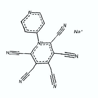 N#Cc1c(C#N)c(C#N)[n+](-c2ccncc2)c(C#N)c1C#N.[Na+]